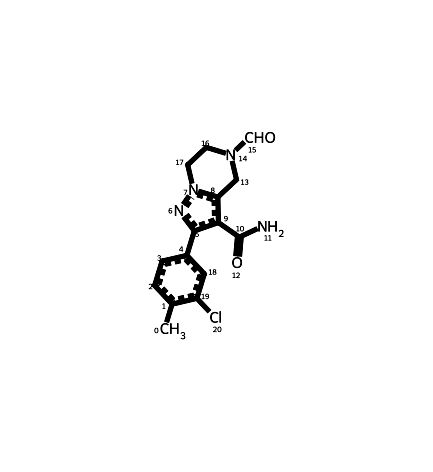 Cc1ccc(-c2nn3c(c2C(N)=O)CN(C=O)CC3)cc1Cl